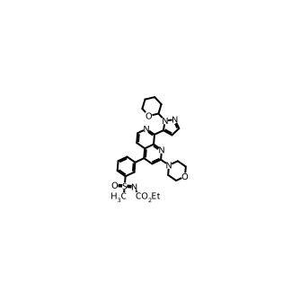 CCOC(=O)N=S(C)(=O)c1cccc(-c2cc(N3CCOCC3)nc3c(-c4ccnn4C4CCCCO4)nccc23)c1